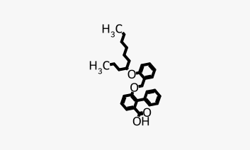 CCCCCCC(CCC)Oc1ccccc1COc1cccc(C(=O)O)c1-c1ccccc1